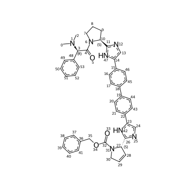 CN(C)[C@@H](C(=O)N1CCC[C@H]1c1ncc(-c2ccc(-c3ccc(-c4cnc([C@@H]5C=CCN5C(=O)OCc5ccccc5)[nH]4)cc3)cc2)[nH]1)c1ccccc1